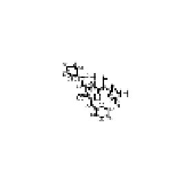 O=C(Nc1n[nH]c(=S)s1)NN(CCc1ccccc1)C(=O)CCC1CCCCC1